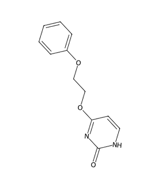 O=c1nc(OCCOc2ccccc2)cc[nH]1